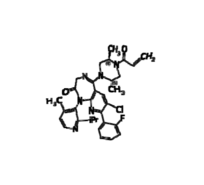 C=CC(=O)N1C[C@H](C)N(C2=NCC(=O)N(c3c(C)ccnc3C(C)C)c3nc(-c4ccccc4F)c(Cl)cc32)C[C@H]1C